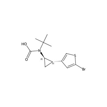 CC(C)(C)N(C(=O)O)[C@@H]1C[C@H]1c1csc(Br)c1